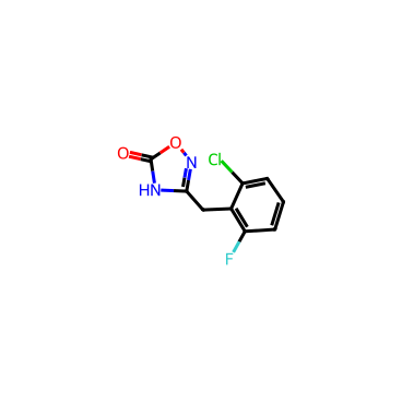 O=c1[nH]c(Cc2c(F)cccc2Cl)no1